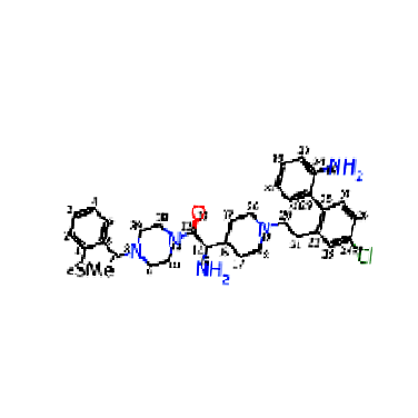 CSc1ccccc1CN1CCN(C(=O)[C@H](N)C2CCN(CCc3cc(Cl)ccc3-c3ccccc3N)CC2)CC1